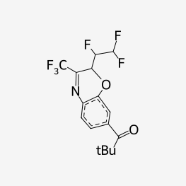 CC(C)(C)C(=O)c1ccc2c(c1)OC(C(F)C(F)F)C(C(F)(F)F)=N2